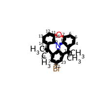 CC1(C)c2cccc3c2N2c4c(cccc4C(C)(C)c4cc(Br)cc1c42)O3